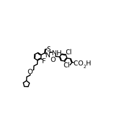 C/C(=C\c1c(Cl)cc(C(=O)Nc2nc(-c3cccc(CCCOCCC4CCCC4)c3F)cs2)cc1Cl)C(=O)O